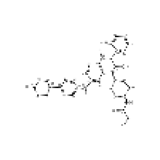 CCC(=O)N[C@H]1CC[C@@H](n2c(=O)c(-c3ccccc3Cl)c(C)c3cnc(Nc4ccc(N5CCN(C)CC5)cc4)nc32)CC1